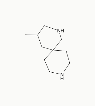 CC1CNCC2(CCNCC2)C1